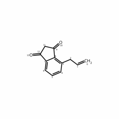 C=CCc1cccc2c1C(=O)CC2=O